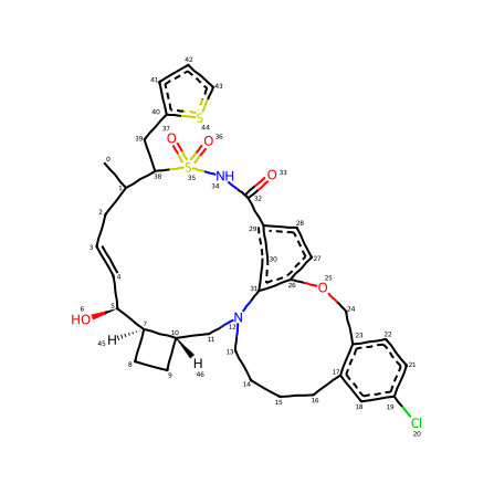 CC1C/C=C/[C@H](O)[C@@H]2CC[C@H]2CN2CCCCc3cc(Cl)ccc3COc3ccc(cc32)C(=O)NS(=O)(=O)C1Cc1cccs1